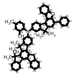 Cc1ccc(N(c2ccc3c(c2)C(C)(C)c2cc(-c4ccccc4)c4oc5ccccc5c4c2-3)c2ccc3c(c2)C(C)(C)c2c-3c3c(c4c2C(C)(C)c2ccccc2-4)-c2ccccc2C3)c(C)c1